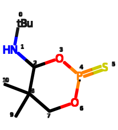 CC(C)(C)NC1O[P](=S)OCC1(C)C